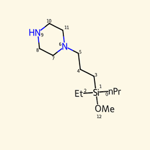 CCC[Si](CC)(CCCN1CCNCC1)OC